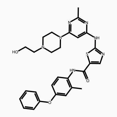 Cc1nc(Nc2ncc(C(=O)Nc3ccc(Oc4ccccc4)cc3C)s2)cc(N2CCN(CCO)CC2)n1